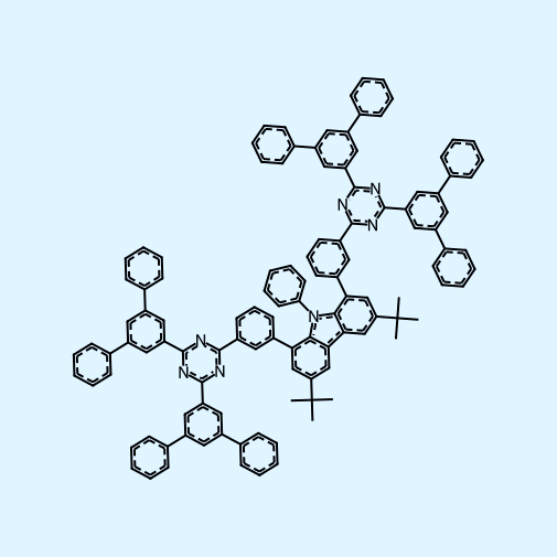 CC(C)(C)c1cc(-c2cccc(-c3nc(-c4cc(-c5ccccc5)cc(-c5ccccc5)c4)nc(-c4cc(-c5ccccc5)cc(-c5ccccc5)c4)n3)c2)c2c(c1)c1cc(C(C)(C)C)cc(-c3cccc(-c4nc(-c5cc(-c6ccccc6)cc(-c6ccccc6)c5)nc(-c5cc(-c6ccccc6)cc(-c6ccccc6)c5)n4)c3)c1n2-c1ccccc1